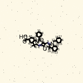 CC1(C)C(/C=C2/C(=O)C(/C=C3/N(Cc4ccccc4)c4ccccc4C3(C)C)=C2O)=[N+](Cc2ccccc2)c2ccc(C(=O)O)cc21